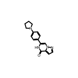 O=c1[nH]c(-c2ccc(N3CCCC3)cc2)cn2nccc12